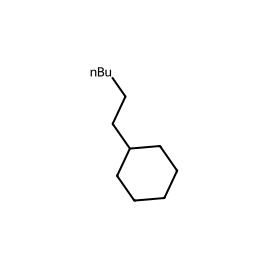 [CH]CCCCCC1CCCCC1